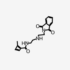 CC1=C(C(=O)NCCNCCN2C(=O)c3ccccc3C2=O)C=C1